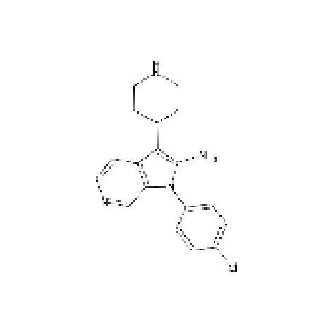 Nc1c(C2CCNCC2)c2ccncc2n1-c1ccc(Cl)cc1